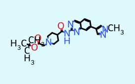 Cn1cc(-c2ccc3cnc(NC(=O)C4CCN(CC(=O)OC(C)(C)C)CC4)nc3c2)cn1